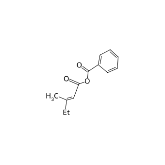 CCC(C)=CC(=O)OC(=O)c1ccccc1